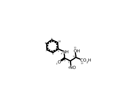 O=NC(C(=O)Nc1ccccc1)C(O)C(=O)O